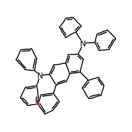 c1ccc(-c2cc3c(-c4ccccc4)cc(N(c4ccccc4)c4ccccc4)cc3cc2N(c2ccccc2)c2ccccc2)cc1